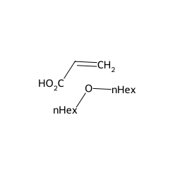 C=CC(=O)O.CCCCCCOCCCCCC